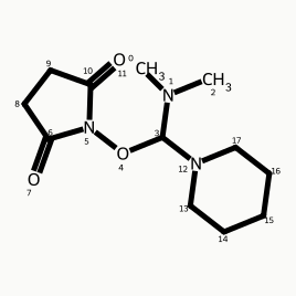 CN(C)C(ON1C(=O)CCC1=O)N1CCCCC1